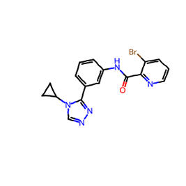 O=C(Nc1cccc(-c2nncn2C2CC2)c1)c1ncccc1Br